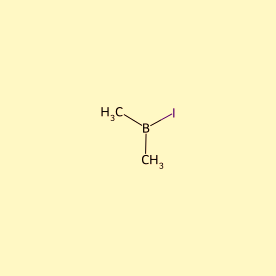 CB(C)I